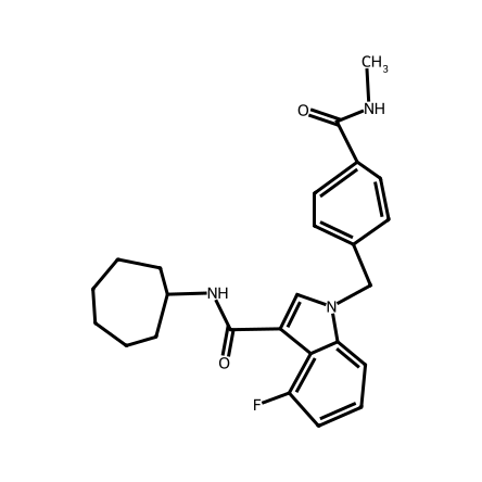 CNC(=O)c1ccc(Cn2cc(C(=O)NC3CCCCCC3)c3c(F)cccc32)cc1